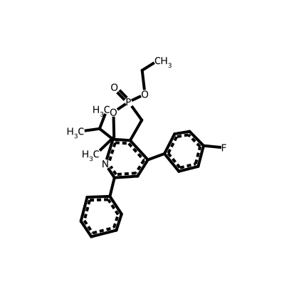 CCOP(=O)(Cc1c(-c2ccc(F)cc2)cc(-c2ccccc2)nc1C(C)C)OCC